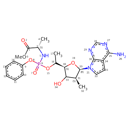 COC(=O)[C@H](C)NP(=O)(Oc1ccccc1)OC(C)[C@H]1O[C@@H](n2ccc3c(N)ncnc32)[C@@H](C)C1O